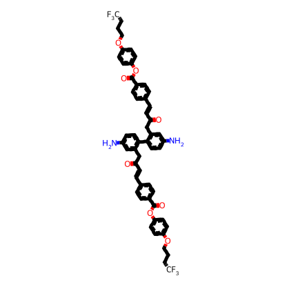 Nc1ccc(-c2ccc(N)cc2CC(=O)/C=C/c2ccc(C(=O)Oc3ccc(OCCCC(F)(F)F)cc3)cc2)c(CC(=O)/C=C/c2ccc(C(=O)Oc3ccc(OCCCC(F)(F)F)cc3)cc2)c1